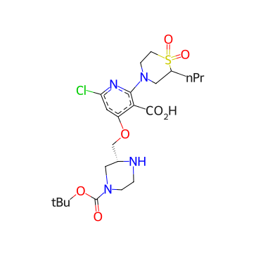 CCCC1CN(c2nc(Cl)cc(OC[C@H]3CN(C(=O)OC(C)(C)C)CCN3)c2C(=O)O)CCS1(=O)=O